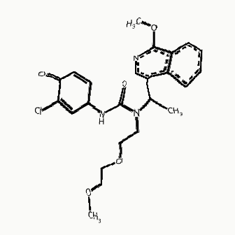 COCCOCCN(C(=O)NC1C=CC(=O)C(Cl)=C1)C(C)c1cnc(OC)c2ccccc12